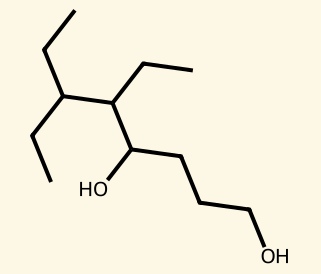 CCC(CC)C(CC)C(O)CCCO